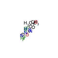 CC1(C)C(=C=O)c2cccc3c(-n4ncc(C(=O)Nc5ccnc(C(F)(F)F)c5)c4C(F)(F)F)ccc1c23